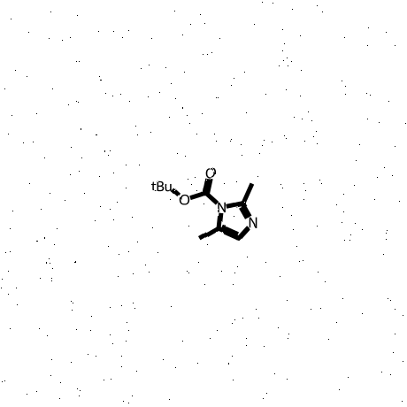 Cc1cnc(C)n1C(=O)OC(C)(C)C